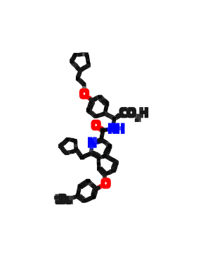 CC(C)(C)c1ccc(Oc2ccc3cc(C(=O)N[C@H](C(=O)O)C4C=CC(OCCC5CCCC5)=CC4)nc(CC4CCCC4)c3c2)cc1